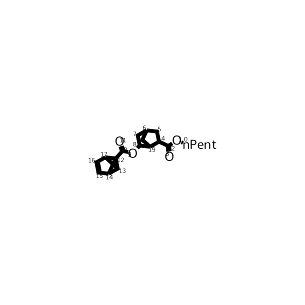 CCCCCOC(=O)C1CC2CC(OC(=O)C3=CC4C=CC3C4)C1C2